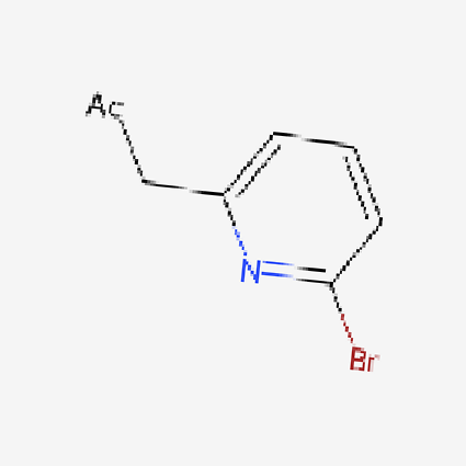 CC(=O)Cc1cccc(Br)n1